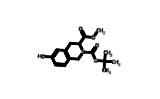 COC(=O)C1Cc2cc(O)ccc2CN1C(=O)OC(C)(C)C